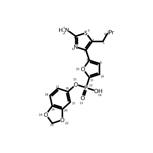 CC(C)Cc1sc(N)nc1-c1ccc(P(=O)(O)Oc2ccc3c(c2)OCO3)o1